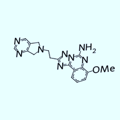 COc1cccc2c1nc(N)n1nc(CCN3Cc4cncnc4C3)nc21